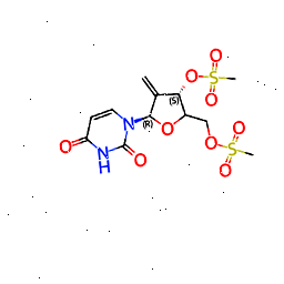 C=C1[C@H](n2ccc(=O)[nH]c2=O)OC(COS(C)(=O)=O)[C@H]1OS(C)(=O)=O